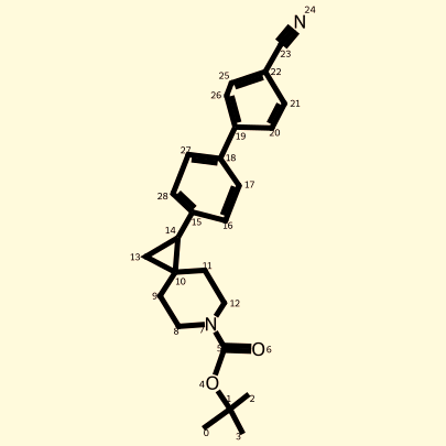 CC(C)(C)OC(=O)N1CCC2(CC1)CC2c1ccc(-c2ccc(C#N)cc2)cc1